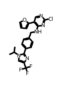 CC(C)n1cc(C(F)(F)F)nc1-c1ccc(CNc2nc(Cl)ncc2-c2ccco2)cc1